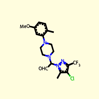 COc1ccc(C)c(N2CCN(C(C=O)n3nc(C(F)(F)F)c(Cl)c3C)CC2)c1